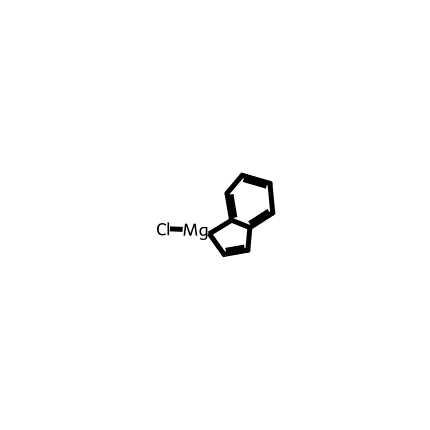 [Cl][Mg][CH]1C=Cc2ccccc21